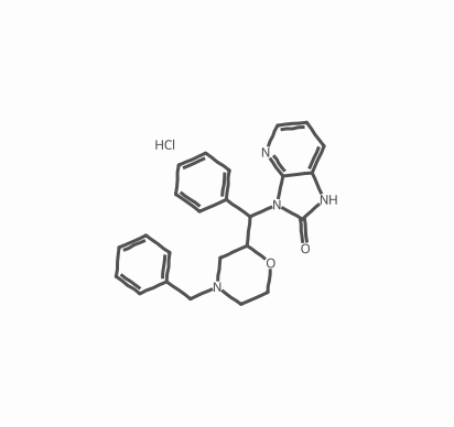 Cl.O=c1[nH]c2cccnc2n1C(c1ccccc1)C1CN(Cc2ccccc2)CCO1